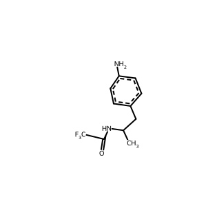 CC(Cc1ccc(N)cc1)NC(=O)C(F)(F)F